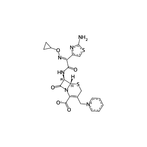 Nc1nc(C(=NOC2CC2)C(=O)N[C@@H]2C(=O)N3C(C(=O)[O-])=C(C[n+]4ccccc4)CS[C@@H]23)cs1